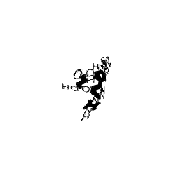 CN(C)S(=O)(=O)Nc1ccc(-c2ccc(N3CC4CNCC4C3)nn2)cc1.O=C(O)/C=C/C(=O)O